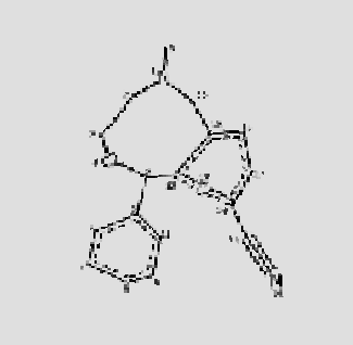 CN1CCOC(c2ccccc2)c2cc(C#N)ccc2C1